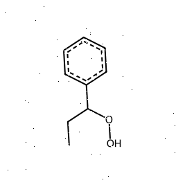 CCC(OO)c1ccccc1